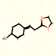 CC(C)(C)C1CCC(=CCC2OCCO2)CC1